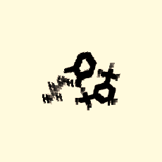 Cc1ccccc1C.F.F.F.F.F.F.FC(F)(F)c1cccc(C(F)(F)F)c1